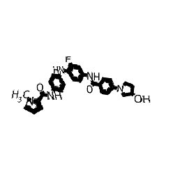 Cn1cccc1C(=O)Nc1ccc(Nc2ccc(NC(=O)c3ccc(N4CCC(O)C4)cc3)cc2F)cc1